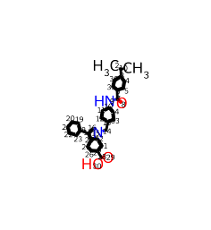 CC(C)c1ccc(C(=O)Nc2ccc(Cn3cc(-c4ccccc4)c4ccc(C(=O)O)cc43)cc2)cc1